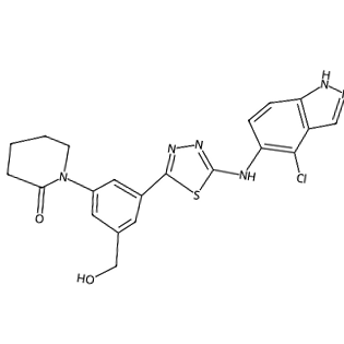 O=C1CCCCN1c1cc(CO)cc(-c2nnc(Nc3ccc4[nH]ncc4c3Cl)s2)c1